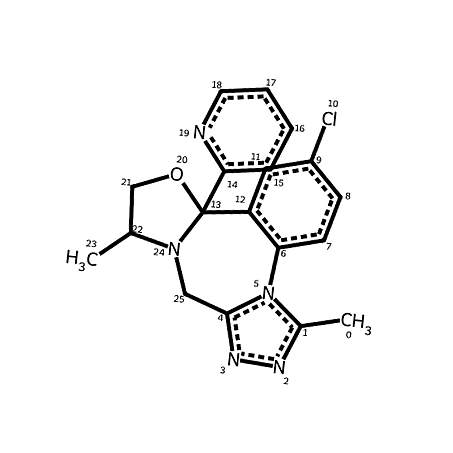 Cc1nnc2n1-c1ccc(Cl)cc1C1(c3ccccn3)OCC(C)N1C2